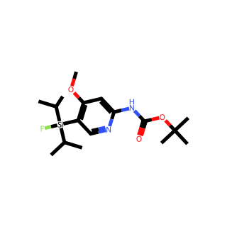 COc1cc(NC(=O)OC(C)(C)C)ncc1[Si](F)(C(C)C)C(C)C